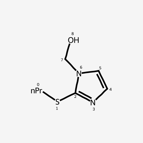 CCCSc1nccn1CO